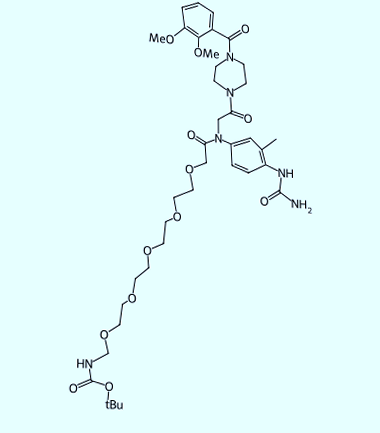 COc1cccc(C(=O)N2CCN(C(=O)CN(C(=O)COCCOCCOCCOCCOCNC(=O)OC(C)(C)C)c3ccc(NC(N)=O)c(C)c3)CC2)c1OC